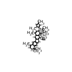 CC1=CC(C)[C]([Zr+2](=[C](C)C)[CH]2C=C(C)c3cc4c(cc3C2(C)C)Cc2cc3c(cc2-4)C(C)=CCC3(C)C)=C1.[Cl-].[Cl-]